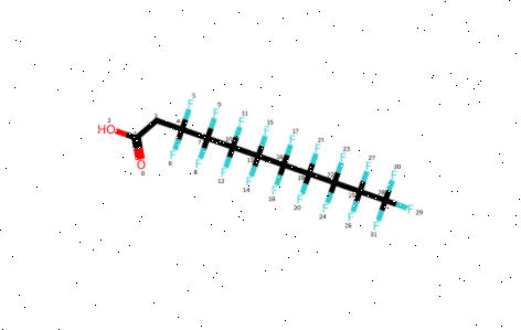 O=C(O)CC(F)(F)C(F)(F)C(F)(F)C(F)(F)C(F)(F)C(F)(F)C(F)(F)C(F)(F)C(F)(F)F